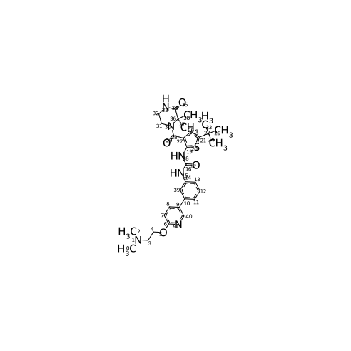 CN(C)CCOc1ccc(-c2cccc(NC(=O)Nc3sc(C(C)(C)C)cc3C(=O)N3CCNC(=O)C3(C)C)c2)cn1